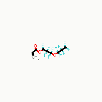 C=CC(=O)OC(F)C(F)(F)C(F)(F)OC(F)(F)C(F)(F)C(F)F